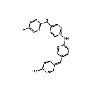 Cc1ccc(Nc2ccc(Nc3ccc(C=C4C=CC(N)C=C4)cc3)cc2)cc1